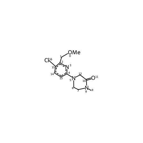 COCc1nc(N2CCN(C)C(=O)C2)ccc1Cl